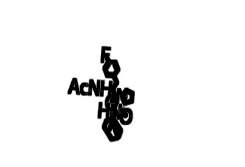 CC(=O)N[C@@H](Cc1ccc(F)cc1)C(=O)N1CCC[C@@H]1C(=O)NC1C2CC3CC(C2)CC1C3